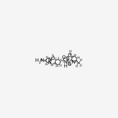 COc1cc(C(=O)NS(=O)(=O)c2nc(C(C)(C)C)ccc2OC)ccc1Cn1cc(N)cn1